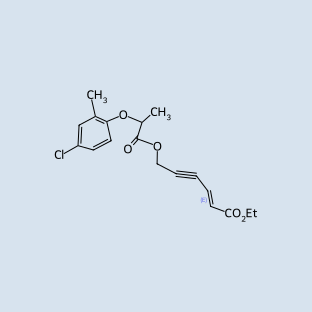 CCOC(=O)/C=C/C#CCOC(=O)C(C)Oc1ccc(Cl)cc1C